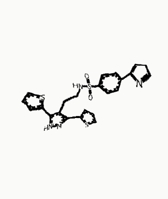 O=S(=O)(NCCc1c(-c2cccs2)n[nH]c1-c1cccs1)c1ccc(C2=CCC=N2)cc1